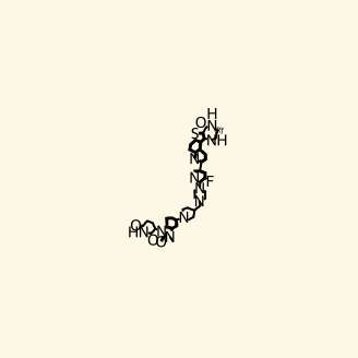 C[C@@H]1CNc2c(sc3ccc4nc(-c5cnc(N6CCN(CC7CCN(c8ccc9c(c8)n(C)c(=O)n9C8CCC(=O)NC8=O)CC7)CC6)c(F)c5)ccc4c23)C(=O)N1